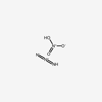 O=[N+]([O-])O.[N-]=[N+]=N